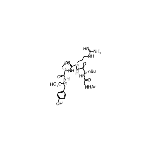 CCCC[C@H](NC(=O)CNC(C)=O)C(=O)N[C@@H](CCCNC(=N)N)C(=O)N[C@@H](CC(C)C)C(=O)N[C@@H](Cc1ccc(O)cc1)C(=O)O